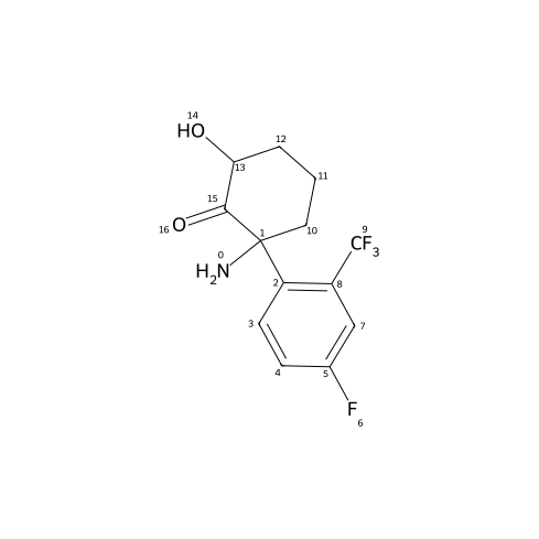 NC1(c2ccc(F)cc2C(F)(F)F)CCCC(O)C1=O